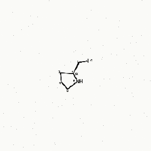 IC[C@@H]1CCCN1